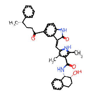 Cc1[nH]c(/C=C2\C(=O)Nc3ccc(C(=O)CC[C@H](C)c4ccccc4)cc32)c(C)c1C(=O)N[C@H]1c2ccccc2CC[C@H]1O